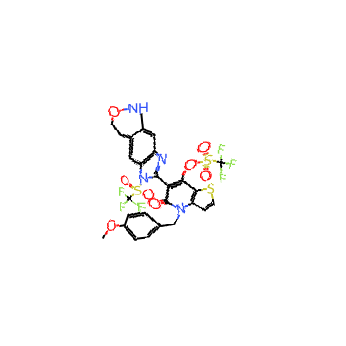 COc1ccc(Cn2c(=O)c(-c3nc4cc5c(cc4n3S(=O)(=O)C(F)(F)F)CCONC5)c(OS(=O)(=O)C(F)(F)F)c3sccc32)cc1